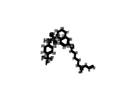 C=CCN(C)CCCCCOc1ccc2c(c1)CCCN2S(=O)(=O)Nc1ccc(C(F)(F)F)cc1